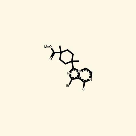 COC(=O)C1(C)CCC(C)(c2nc(Br)c3c(Cl)nccn23)CC1